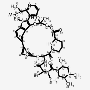 CCn1c(-c2cccnc2[C@H](C)OC)c2c3cc(ccc31)-c1csc(n1)C[C@H](NC(=O)C(C(C)C)N(C)C(=O)N1C[C@H](C)N(C)C[C@H]1C)C(=O)N1CCC[C@H](N1)C(=O)OCC(C)(C)C2